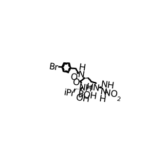 CC(C)C[C@H](NC(=O)[C@H](CCCNC(=N)N[N+](=O)[O-])NC(=O)Cc1ccc(Br)cc1)B(O)O